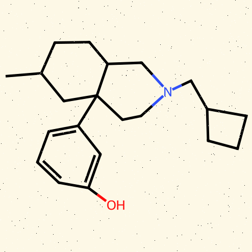 CC1CCC2CN(CC3CCC3)CCC2(c2cccc(O)c2)C1